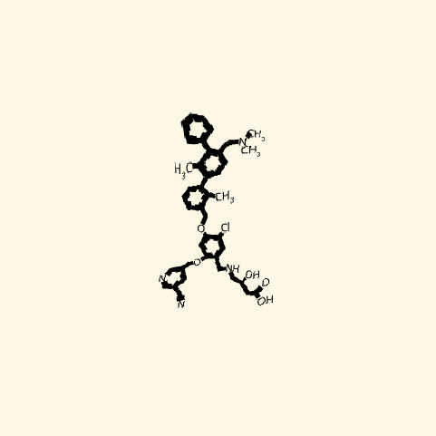 Cc1c(COc2cc(OCc3cncc(C#N)c3)c(CNC[C@@H](O)CC(=O)O)cc2Cl)cccc1-c1ccc(CN(C)C)c(-c2ccccc2)c1C